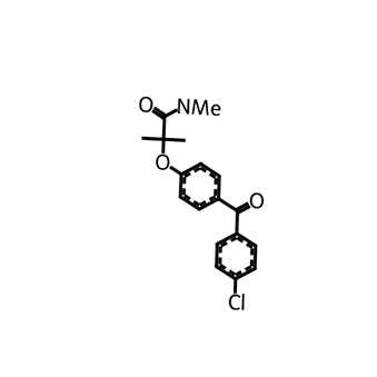 CNC(=O)C(C)(C)Oc1ccc(C(=O)c2ccc(Cl)cc2)cc1